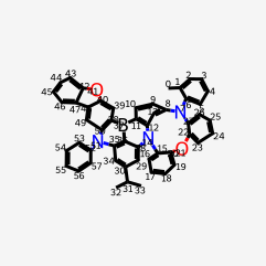 Cc1ccccc1N1c2ccc3c(c2)N(c2ccccc2Oc2ccccc21)c1cc(C(C)C)cc2c1B3c1cc3oc4ccccc4c3cc1N2c1ccccc1